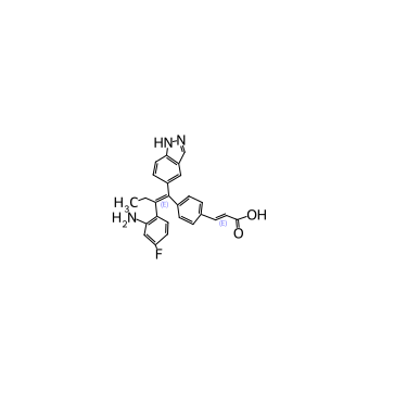 CC/C(=C(/c1ccc(/C=C/C(=O)O)cc1)c1ccc2[nH]ncc2c1)c1ccc(F)cc1N